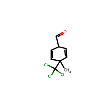 CC1(C(Cl)(Cl)Cl)C=CC(C=O)C=C1